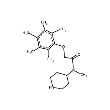 Cc1c(C)c(OCC(=O)N(C)C2CCNCC2)c(C)c(C)c1N